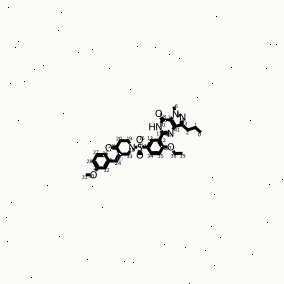 CCCc1nn(C)c2c(=O)[nH]c(-c3cc(S(=O)(=O)N4CCC(=O)/C(=C\c5cccc(OC)c5)C4)ccc3OCC)nc12